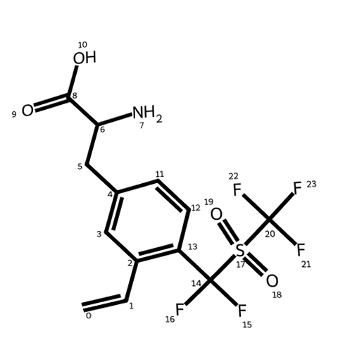 C=Cc1cc(CC(N)C(=O)O)ccc1C(F)(F)S(=O)(=O)C(F)(F)F